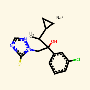 CC(C1CC1)C(O)(Cn1ncnc1[S-])c1cccc(Cl)c1.[Na+]